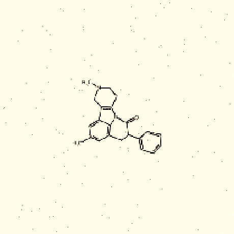 Cc1cc2c3c(c1)c1c(n3C(=O)C(c3ccccc3)C2)CCN(C)C1